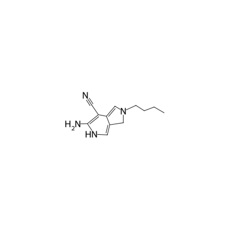 CCCCN1C=C2C(=CNC(N)=C2C#N)C1